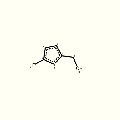 OCc1ccc(F)s1